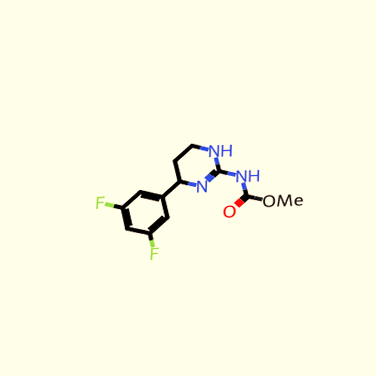 COC(=O)NC1=NC(c2cc(F)cc(F)c2)CCN1